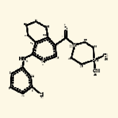 O=C(c1cnc(Nc2cccc(Cl)c2)c2c1CCCC2)N1CCS(O)(O)CC1